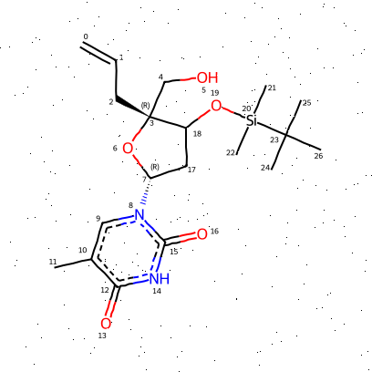 C=CC[C@]1(CO)O[C@@H](n2cc(C)c(=O)[nH]c2=O)CC1O[Si](C)(C)C(C)(C)C